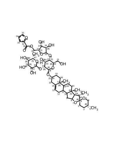 C[C@@H]1CC[C@@]2(OC1)OC1CC3C4CC=C5C[C@@H](O[C@@H]6O[C@H](CO)[C@@H](OC7O[C@@H](COC(=O)c8ccco8)[C@H](O)[C@H]7O)[C@H](O)[C@H]6OC6O[C@@H](C)[C@H](O)[C@@H](O)[C@H]6O)CC[C@]5(C)C4CC[C@]3(C)C1[C@@H]2C